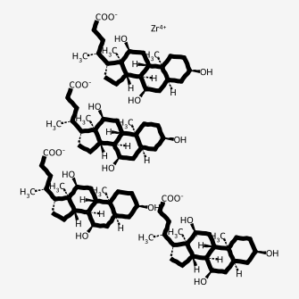 C[C@H](CCC(=O)[O-])[C@H]1CC[C@H]2[C@@H]3[C@H](O)C[C@@H]4C[C@H](O)CC[C@]4(C)[C@H]3C[C@H](O)[C@]12C.C[C@H](CCC(=O)[O-])[C@H]1CC[C@H]2[C@@H]3[C@H](O)C[C@@H]4C[C@H](O)CC[C@]4(C)[C@H]3C[C@H](O)[C@]12C.C[C@H](CCC(=O)[O-])[C@H]1CC[C@H]2[C@@H]3[C@H](O)C[C@@H]4C[C@H](O)CC[C@]4(C)[C@H]3C[C@H](O)[C@]12C.C[C@H](CCC(=O)[O-])[C@H]1CC[C@H]2[C@@H]3[C@H](O)C[C@@H]4C[C@H](O)CC[C@]4(C)[C@H]3C[C@H](O)[C@]12C.[Zr+4]